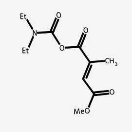 CCN(CC)C(=O)OC(=O)/C(C)=C/C(=O)OC